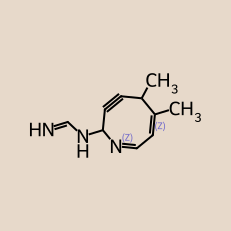 C/C1=C/C=N\C(NC=N)C#CC1C